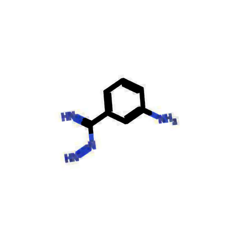 N=NC(=N)c1cccc(N)c1